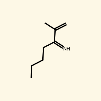 C=C(C)C(=N)CCCC